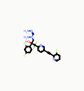 N/N=C\N(N)CC(O)(c1ccc(F)cc1F)C(F)(F)c1ccc(C#Cc2ncccc2F)cn1